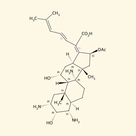 CC(=O)O[C@H]1C[C@@]2(C)[C@@H](C[C@@H](O)[C@H]3[C@@]4(C)C[C@@H](N)[C@@H](O)[C@@H](N)[C@@H]4CC[C@@]32N)/C1=C(\C=C\C=C(C)C)C(=O)O